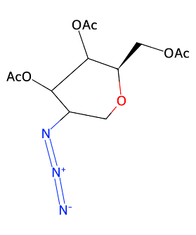 CC(=O)OC[C@H]1OCC(N=[N+]=[N-])C(OC(C)=O)C1OC(C)=O